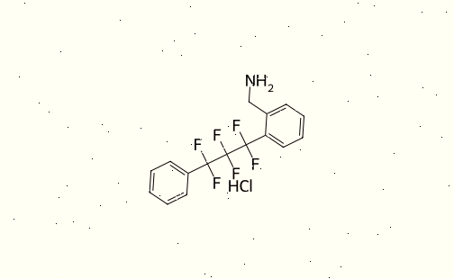 Cl.NCc1ccccc1C(F)(F)C(F)(F)C(F)(F)c1ccccc1